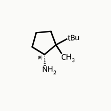 CC(C)(C)C1(C)CCC[C@H]1N